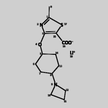 Cc1nc(OC2CCC(N3CCC3)CC2)c(C(=O)[O-])s1.[Li+]